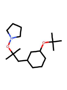 CC(C)(C)OC1CCCC(CC(C)(C)ON2CCCC2)C1